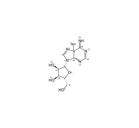 [2H]C12N=CN([C@@H]3O[C@H](CO)[C@@H](O)[C@H]3O)C1=NC=NC2=N